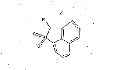 CC(C)OS(=O)(=O)c1cccc2ccccc12.[K]